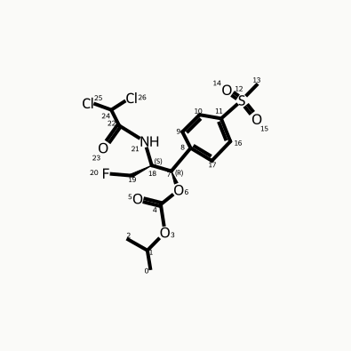 CC(C)OC(=O)O[C@H](c1ccc(S(C)(=O)=O)cc1)[C@@H](CF)NC(=O)C(Cl)Cl